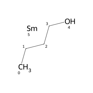 CCCCO.[Sm]